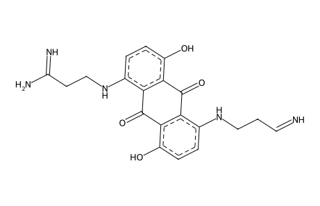 N=CCCNc1ccc(O)c2c1C(=O)c1c(O)ccc(NCCC(=N)N)c1C2=O